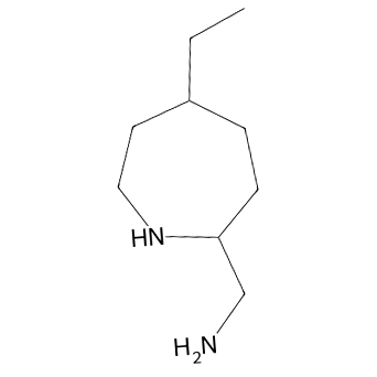 CCC1CCNC(CN)CC1